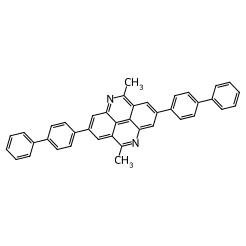 Cc1nc2cc(-c3ccc(-c4ccccc4)cc3)cc3c(C)nc4cc(-c5ccc(-c6ccccc6)cc5)cc1c4c23